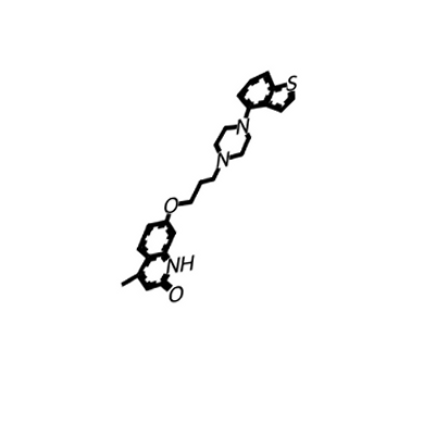 Cc1cc(=O)[nH]c2cc(OCCCN3CCN(c4cccc5sccc45)CC3)ccc12